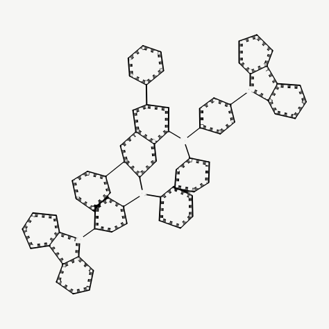 c1ccc(-c2cc(N(c3ccccc3)c3ccc(-n4c5ccccc5c5ccccc54)cc3)c3cc(N(c4ccccc4)c4ccc(-n5c6ccccc6c6ccccc65)cc4)c(-c4ccccc4)cc3c2)cc1